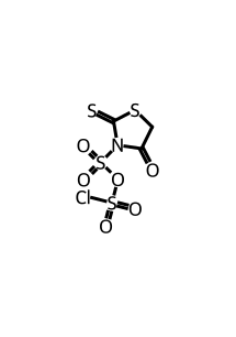 O=C1CSC(=S)N1S(=O)(=O)OS(=O)(=O)Cl